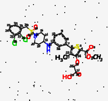 COC(=O)c1sc(-c2cccc(NC3CCN(S(=O)(=O)Cc4cccc(Cl)c4Cl)CC3)c2)c(C)c1OCC(=O)O